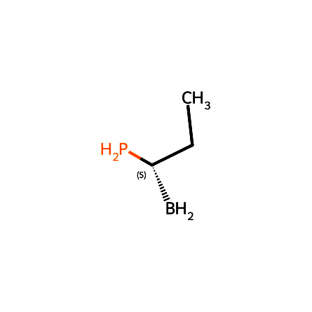 B[C@H](P)CC